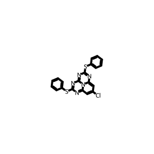 ClC1=CC2=NC(Sc3ccccc3)=NC3=NC(Sc4ccccc4)=NC(=C1)N23